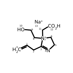 C=CCC1=NCC[N+]1(CCO)CC(=O)O.[Na+]